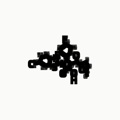 Cc1ccc(C(=O)C2=C(O)C(=O)N(c3nc4ccc(Cl)cc4s3)C2c2ccc(F)cc2F)o1